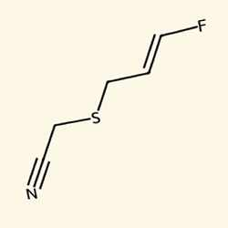 N#CCSCC=CF